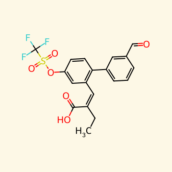 CCC(=Cc1cc(OS(=O)(=O)C(F)(F)F)ccc1-c1cccc(C=O)c1)C(=O)O